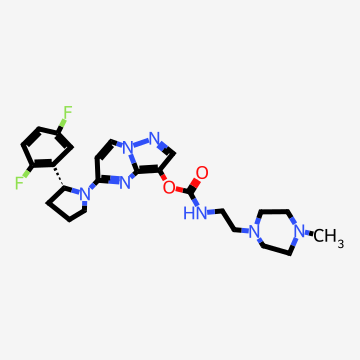 CN1CCN(CCNC(=O)Oc2cnn3ccc(N4CCC[C@@H]4c4cc(F)ccc4F)nc23)CC1